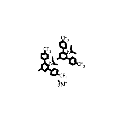 Cc1cc(-c2ccc(C(F)(F)F)cc2)c(N2C(C)C2C)c(-c2ccc(C(F)(F)F)cc2)c1.Cc1cc(-c2ccc(C(F)(F)F)cc2)c(N2C(C)C2C)c(-c2ccc(C(F)(F)F)cc2)c1.[CH3][Pd+].[Cl-]